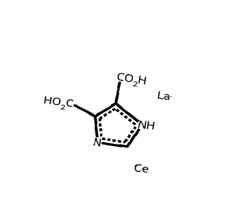 O=C(O)c1nc[nH]c1C(=O)O.[Ce].[La]